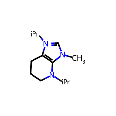 CC(C)N1CCCc2c1n(C)c[n+]2C(C)C